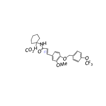 COc1cc(/C=C/C(=O)NC2(C(=O)O)CCCCC2)ccc1OCc1ccc(OC(F)(F)F)cc1